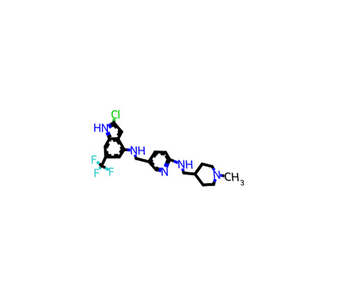 CN1CCC(CNc2ccc(CNc3cc(C(F)(F)F)cc4[nH]c(Cl)cc34)cn2)CC1